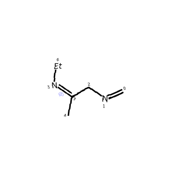 C=NC/C(C)=N\CC